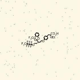 CCOC(Cc1ccc(OCCN(CCOC(F)(F)C(F)(F)C(F)(F)C(F)(F)F)C(=O)Oc2ccccc2OC(F)(F)F)cc1)C(=O)O